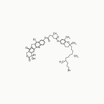 CCc1c2c(nc3ccc(OC(=O)CC(C)CC(=O)Oc4cc(C)c5c(c4)CC[C@@](C)(CCC[C@H](C)CCC[C@H](C)CCCC(C)C)O5)cc13)-c1cc3c(c(=O)n1C2)COC(=O)[C@]3(O)CC